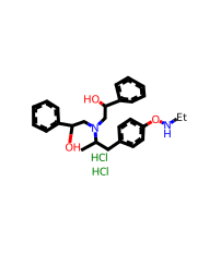 CCNOc1ccc(CC(C)N(CC(O)c2ccccc2)CC(O)c2ccccc2)cc1.Cl.Cl